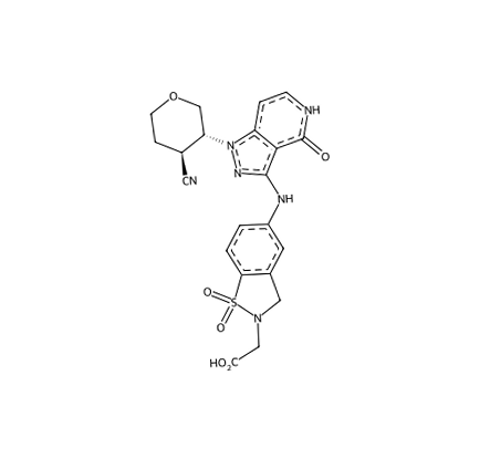 N#C[C@H]1CCOC[C@@H]1n1nc(Nc2ccc3c(c2)CN(CC(=O)O)S3(=O)=O)c2c(=O)[nH]ccc21